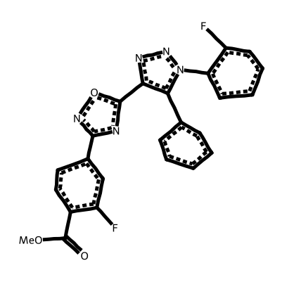 COC(=O)c1ccc(-c2noc(-c3nnn(-c4ccccc4F)c3-c3ccccc3)n2)cc1F